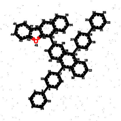 c1ccc(-c2ccc(-c3c4ccccc4c(-c4ccc(-c5ccccc5)cc4)c4cc(-c5c6ccccc6cc6c5oc5ccccc56)ccc34)cc2)cc1